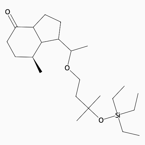 CC[Si](CC)(CC)OC(C)(C)CCOC(C)C1CCC2C(=O)CC[C@H](C)C21